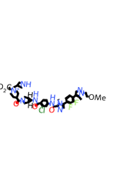 COCCn1ncc(-c2ccc(-c3cnc(C(=O)Nc4ccc(C(=O)NC5[C@H]6CN(C(=O)C7CC[N+](CC(=O)O)(CC8CNC8)CC7)C[C@@H]56)c(Cl)c4)n3C)c(F)c2F)c1C